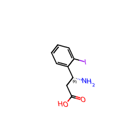 N[C@H](CC(=O)O)c1ccccc1I